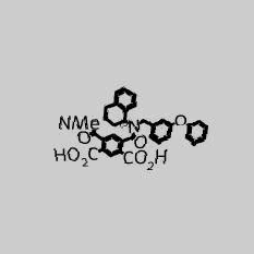 CNC(=O)c1cc(C(=O)N(Cc2cccc(Oc3ccccc3)c2)[C@H]2CCCc3ccccc32)c(C(=O)O)cc1C(=O)O